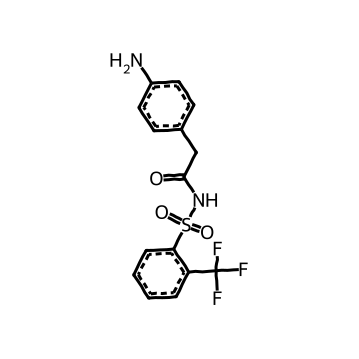 Nc1ccc(CC(=O)NS(=O)(=O)c2ccccc2C(F)(F)F)cc1